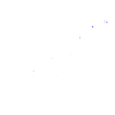 CC(C)[C@H](NC(=O)[C@@H](NC(=O)CNC(=O)[C@@H](N)Cc1c[nH]cn1)C(C)C)C(=O)O